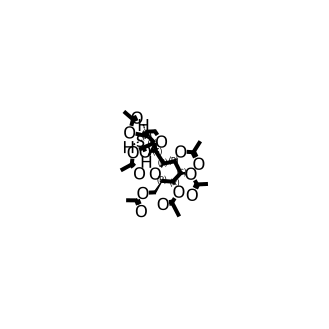 CC(=O)OC[C@H]1O[C@@H]([C@]23OC[C@H](SO2)[C@H](OC(C)=O)[C@H]3OC(C)=O)[C@H](OC(C)=O)[C@@H](OC(C)=O)[C@@H]1OC(C)=O